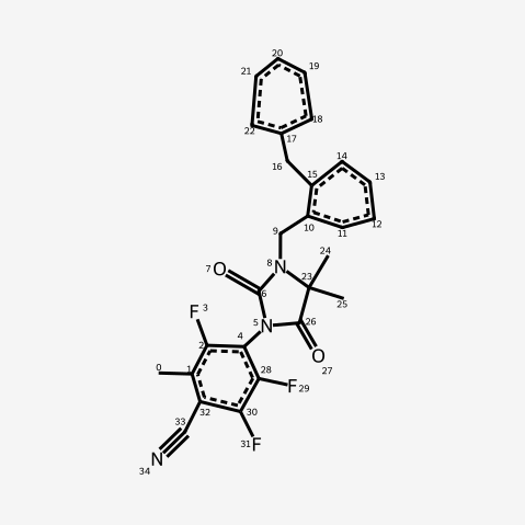 Cc1c(F)c(N2C(=O)N(Cc3ccccc3Cc3ccccc3)C(C)(C)C2=O)c(F)c(F)c1C#N